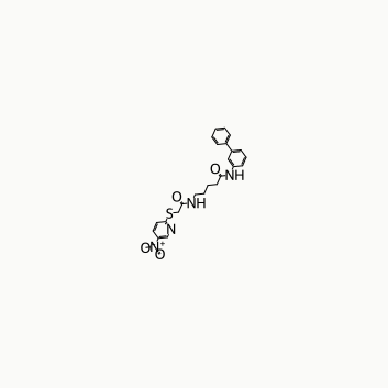 O=C(CSc1ccc([N+](=O)[O-])cn1)NCCCCC(=O)Nc1cccc(-c2ccccc2)c1